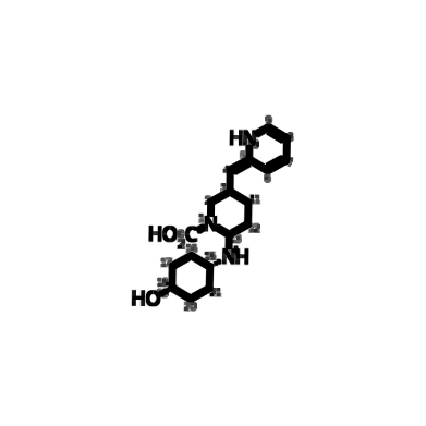 O=C(O)N1CC(C=C2C=CC=CN2)CCC1N[C@H]1CC[C@H](O)CC1